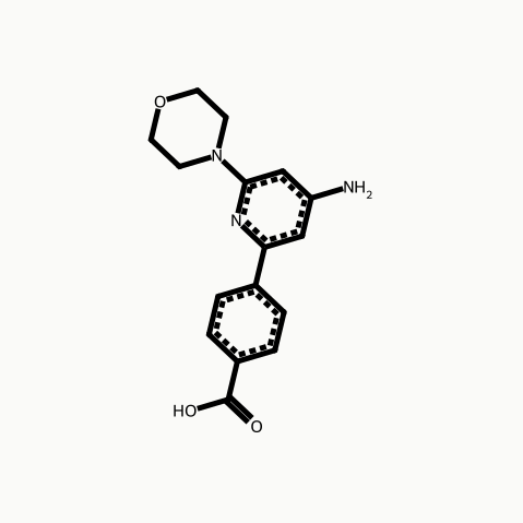 Nc1cc(-c2ccc(C(=O)O)cc2)nc(N2CCOCC2)c1